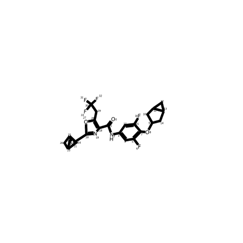 O=C(Nc1cc(F)c(OC2CC3CC3C2)c(F)c1)c1nc(N2CC3CC2C3)oc1CC(F)(F)F